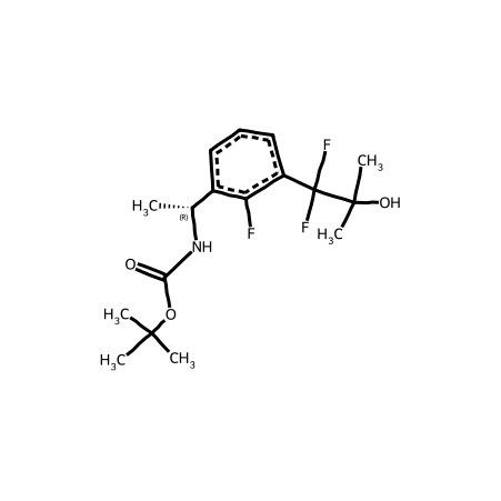 C[C@@H](NC(=O)OC(C)(C)C)c1cccc(C(F)(F)C(C)(C)O)c1F